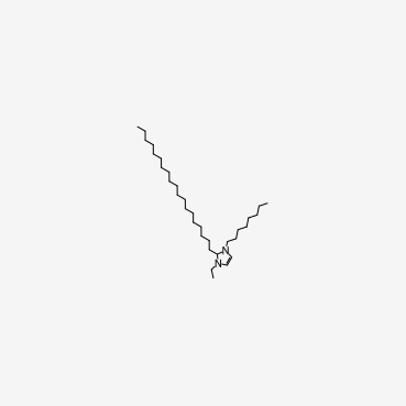 CCCCCCCCCCCCCCCCCCCC1N(CC)C=CN1CCCCCCCC